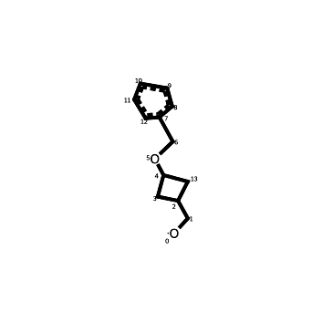 [O]CC1CC(OCc2ccccc2)C1